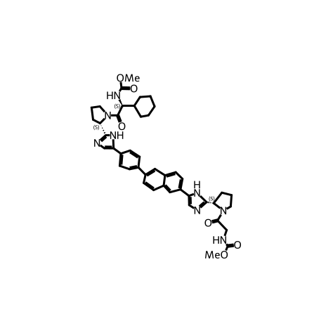 COC(=O)NCC(=O)N1CCC[C@H]1c1ncc(-c2ccc3cc(-c4ccc(-c5cnc([C@@H]6CCCN6C(=O)[C@@H](NC(=O)OC)C6CCCCC6)[nH]5)cc4)ccc3c2)[nH]1